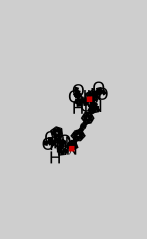 COC(=O)N[C@H](C(=O)N1CCN(C(=O)OC)C[C@H]1c1ncc(-c2ccc(C#Cc3ccc(-c4cnc([C@@H]5CCCN5C(=O)[C@H](NC(=O)OC)c5ccccc5)[nH]4)cc3)cc2)[nH]1)C(C)C